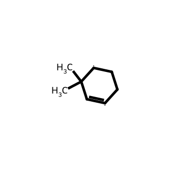 CC1(C)[CH]CC[C]=C1